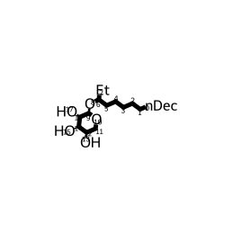 CCCCCCCCCCCCCCCC(CC)O[C@H]1OC[C@@H](O)[C@H](O)[C@H]1O